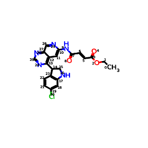 CCOC(=O)C=CC(=O)Nc1cc2c(C3CNc4cc(Cl)ccc43)ncnc2cn1